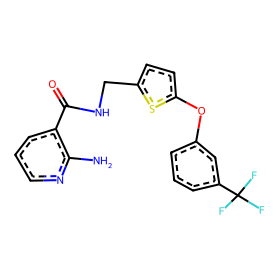 Nc1ncccc1C(=O)NCc1ccc(Oc2cccc(C(F)(F)F)c2)s1